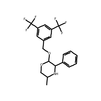 CC1COC(OCc2cc(C(F)(F)F)cc(C(F)(F)F)c2)C(c2ccccc2)N1